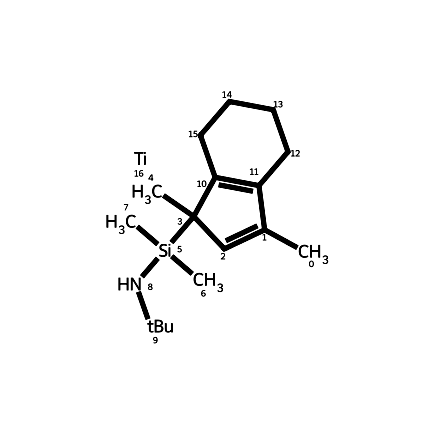 CC1=CC(C)([Si](C)(C)NC(C)(C)C)C2=C1CCCC2.[Ti]